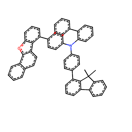 CC1(C)c2ccccc2-c2cccc(-c3ccc(N(c4ccc(-c5cccc6oc7c8ccccc8ccc7c56)cc4)c4ccccc4-c4ccccc4)cc3)c21